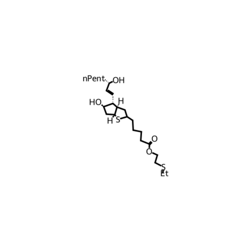 CCCCC[C@H](O)/C=C/[C@@H]1[C@H]2CC(CCCCC(=O)OCCSCC)S[C@@H]2C[C@H]1O